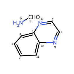 NC=O.c1ccc2nccnc2c1